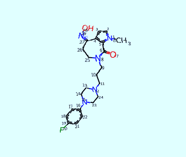 Cn1ccc2c1C(=O)N(CCCN1CCN(c3ccc(F)cc3)CC1)CC/C2=N/O